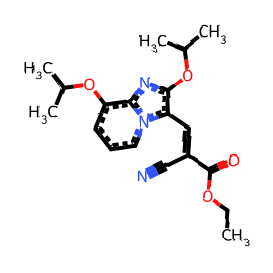 CCOC(=O)C(C#N)=Cc1c(OC(C)C)nc2c(OC(C)C)cccn12